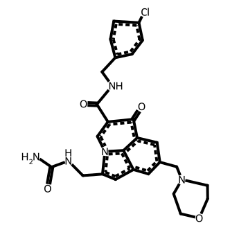 NC(=O)NCc1cc2cc(CN3CCOCC3)cc3c(=O)c(C(=O)NCc4ccc(Cl)cc4)cn1c23